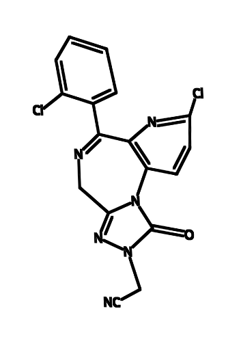 N#CCn1nc2n(c1=O)-c1ccc(Cl)nc1C(c1ccccc1Cl)=NC2